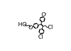 COc1ccc(/C(=C(\CCCl)c2ccc(Cl)cc2)c2ccc(OCCO)cc2)cc1